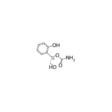 NC(=O)O[C@H](CO)c1ccccc1O